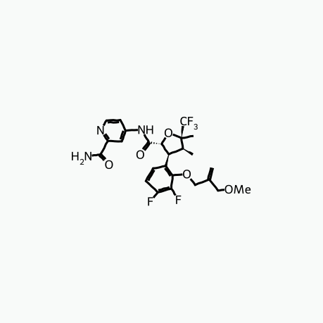 C=C(COC)COc1c([C@H]2[C@H](C(=O)Nc3ccnc(C(N)=O)c3)O[C@@](C)(C(F)(F)F)[C@H]2C)ccc(F)c1F